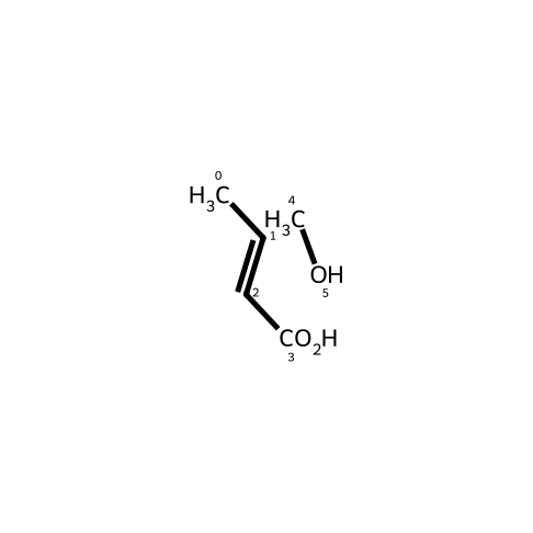 CC=CC(=O)O.CO